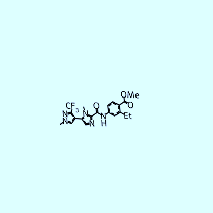 CCc1cc(NC(=O)c2ncc(-c3cn(C)nc3C(F)(F)F)n2C)ccc1C(=O)OC